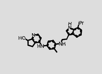 Cc1cc(Nc2ccnc3c2CCC3O)ccc1NCCc1c[nH]c2c(C(C)C)cccc12